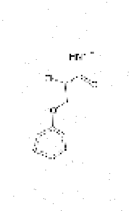 CNC(=O)C(Cl)COc1ccccc1